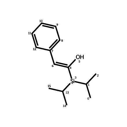 CC(C)[Si](C(O)=Cc1ccccc1)C(C)C